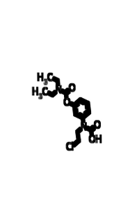 CCN(CC)C(=O)Oc1cccc(N(CCCl)C(=O)O)c1